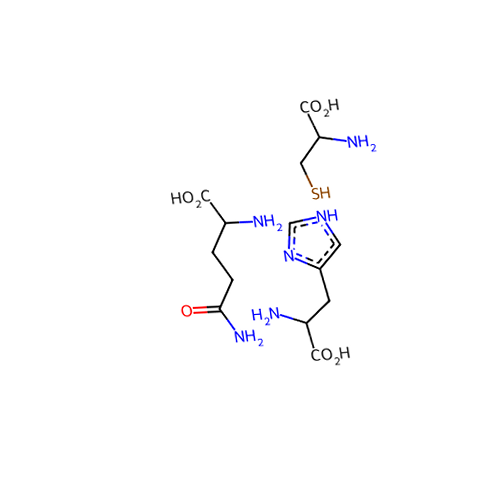 NC(=O)CCC(N)C(=O)O.NC(CS)C(=O)O.NC(Cc1c[nH]cn1)C(=O)O